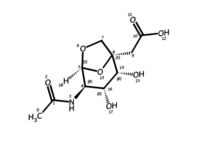 CC(=O)N[C@H]1[C@H]2OC[C@](CC(=O)O)(O2)[C@H](O)[C@@H]1O